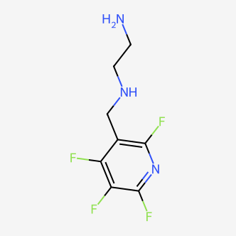 NCCNCc1c(F)nc(F)c(F)c1F